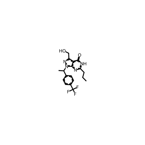 CCCc1nc2c(c(CO)nn2C(C)c2ccc(C(F)(F)F)cc2)c(=O)[nH]1